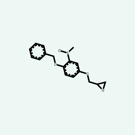 C[S+]([O-])c1cc(OCC2CO2)ccc1OCc1ccccc1